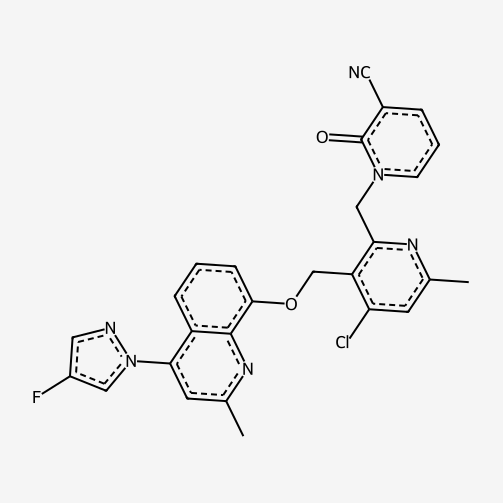 Cc1cc(Cl)c(COc2cccc3c(-n4cc(F)cn4)cc(C)nc23)c(Cn2cccc(C#N)c2=O)n1